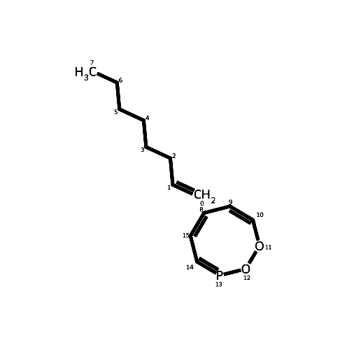 C=CCCCCCC.c1ccoopcc1